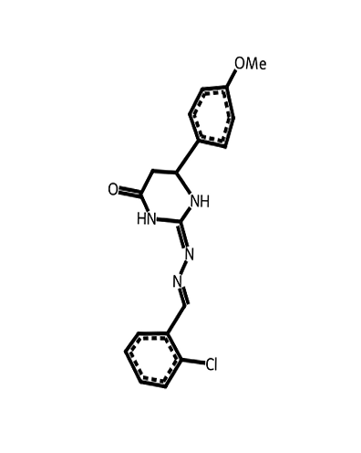 COc1ccc(C2CC(=O)NC(=NN=Cc3ccccc3Cl)N2)cc1